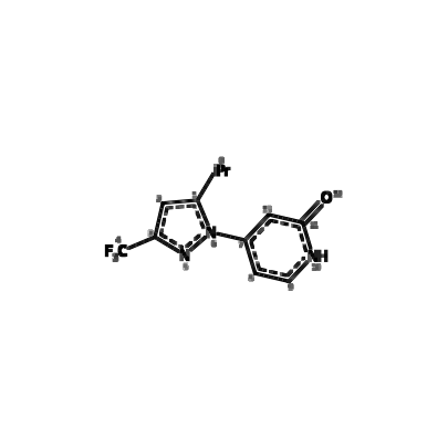 CC(C)c1cc(C(F)(F)F)nn1-c1cc[nH]c(=O)c1